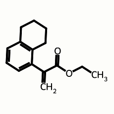 C=C(C(=O)OCC)c1cccc2c1CCCC2